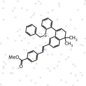 COC(=O)c1ccc(/C=C/c2ccc3c(c2)C(c2ccccc2SCc2ccccc2)=CCC3(C)C)cc1